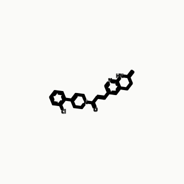 C=C1CCc2cc(/C=C/C(=O)N3CC=C(c4ccccc4Cl)CC3)cnc2N1